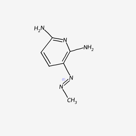 C/N=N/c1ccc(N)nc1N